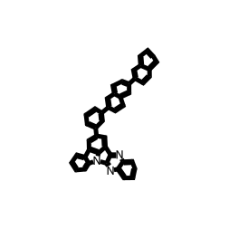 c1cc(-c2ccc3cc(-c4ccc5ccccc5c4)ccc3c2)cc(-c2cc3c4ccccc4n4c5nc6ccccc6nc5c(c2)c34)c1